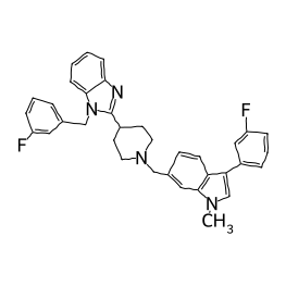 Cn1cc(-c2cccc(F)c2)c2ccc(CN3CCC(c4nc5ccccc5n4Cc4cccc(F)c4)CC3)cc21